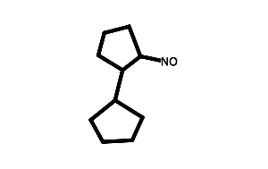 O=NC1CCCC1C1CCCC1